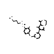 Cc1cc(Nc2nccc(-c3c(C)c4n(c3C)CCNC4=O)n2)ccc1S(=O)(=O)N(C)CCCN(C)C